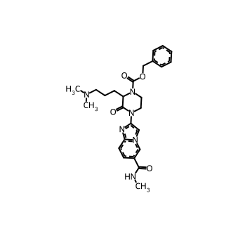 CNC(=O)c1ccc2nc(N3CCN(C(=O)OCc4ccccc4)C(CCCN(C)C)C3=O)cn2c1